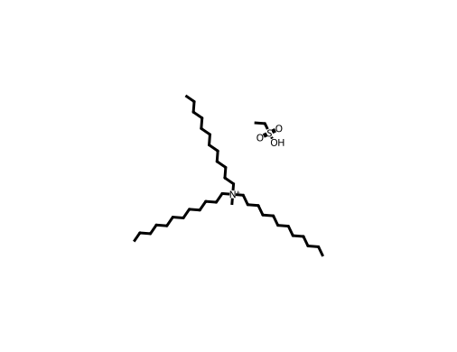 CCCCCCCCCCCC[N+](C)(CCCCCCCCCCCC)CCCCCCCCCCCC.CCS(=O)(=O)O